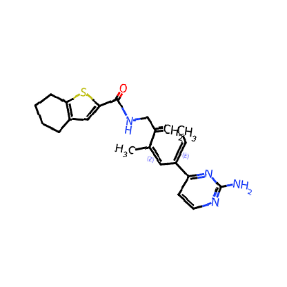 C=C(CNC(=O)c1cc2c(s1)CCCC2)/C(C)=C\C(=C/C)c1ccnc(N)n1